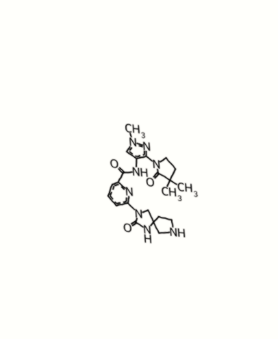 Cn1cc(NC(=O)c2cccc(N3CC4(CCNC4)NC3=O)n2)c(N2CCC(C)(C)C2=O)n1